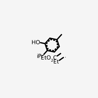 CCOC(C)=O.Cc1ccc(C(C)C)c(O)c1.[CH2]CC